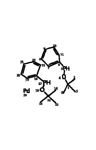 CC(C)(C)OPc1ccccc1.CC(C)(C)OPc1ccccc1.[Pd]